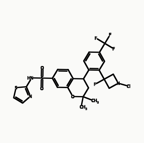 CC1(C)CC(c2ccc(C(F)(F)F)cc2C2(F)CN(Cl)C2)c2ccc(S(=O)(=O)Nc3nccs3)cc2O1